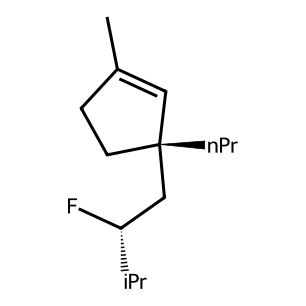 CCC[C@]1(C[C@@H](F)C(C)C)C=C(C)CC1